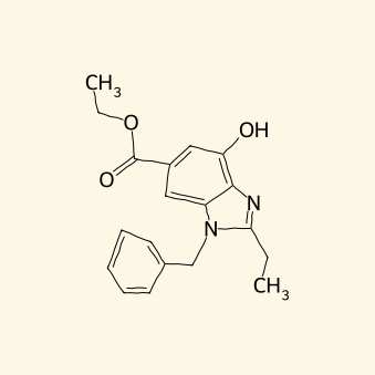 CCOC(=O)c1cc(O)c2nc(CC)n(Cc3ccccc3)c2c1